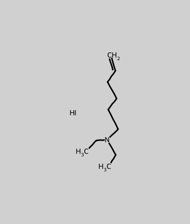 C=CCCCCN(CC)CC.I